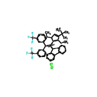 CCC1=[C]([Zr+2](=[C](c2cccc(C(F)(F)F)c2)c2cccc(C(F)(F)F)c2)[CH]2c3ccccc3-c3ccccc32)C(CC)C=C1C(C)(C)C.[Cl-].[Cl-]